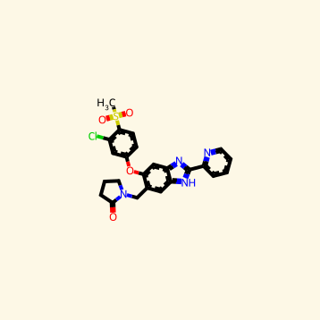 CS(=O)(=O)c1ccc(Oc2cc3nc(-c4ccccn4)[nH]c3cc2CN2CCCC2=O)cc1Cl